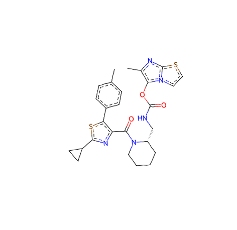 Cc1ccc(-c2sc(C3CC3)nc2C(=O)N2CCCC[C@H]2CNC(=O)Oc2c(C)nc3sccn23)cc1